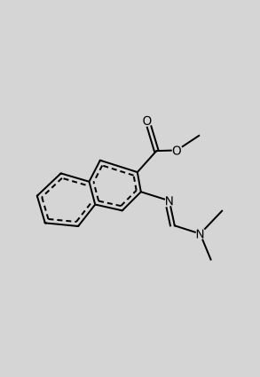 COC(=O)c1cc2ccccc2cc1N=CN(C)C